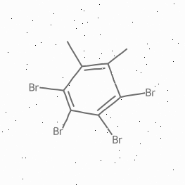 Cc1c(C)c(Br)c(Br)c(Br)c1Br